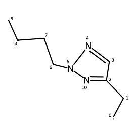 [CH2]Cc1cnn(CCCC)n1